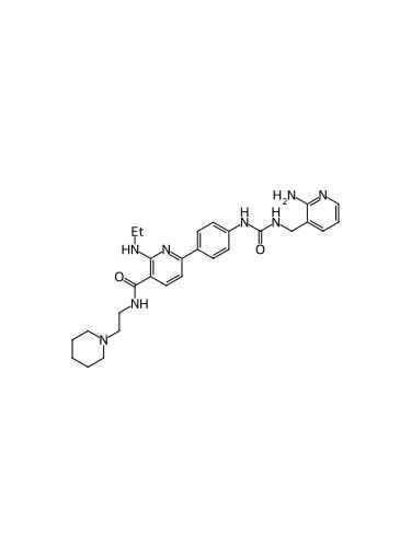 CCNc1nc(-c2ccc(NC(=O)NCc3cccnc3N)cc2)ccc1C(=O)NCCN1CCCCC1